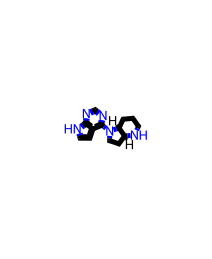 c1nc(N2CC[C@H]3NCCC[C@H]32)c2cc[nH]c2n1